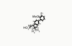 COc1c(F)cccc1-c1ccc2c(c1)CC(C)(C)C2NC(=O)O